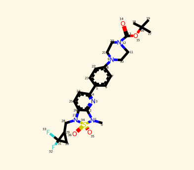 CN1c2nc(-c3ccc(N4CCN(C(=O)OC(C)(C)C)CC4)cc3)ccc2N(CC2CC2(F)F)S1(=O)=O